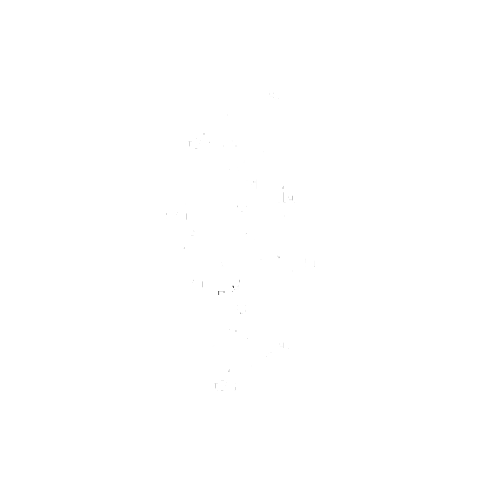 CC(C)(C)c1ccc(OPOc2c(-c3cc(C(C)(C)C)cc(C(C)(C)C)c3OPOc3ccc(C(C)(C)C)cc3C(C)(C)C)cc(C(C)(C)C)cc2C(C)(C)C)c(C(C)(C)C)c1